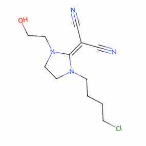 N#CC(C#N)=C1N(CCO)CCN1CCCCCl